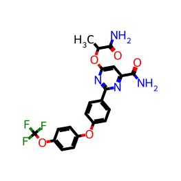 CC(Oc1cc(C(N)=O)nc(-c2ccc(Oc3ccc(OC(F)(F)F)cc3)cc2)n1)C(N)=O